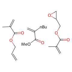 C=C(C)C(=O)OCC1CO1.C=C(CCCC)C(=O)OC.C=CCOC(=O)C(=C)C